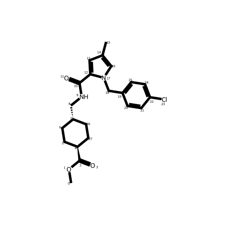 COC(=O)[C@H]1CC[C@H](CNC(=O)c2cc(C)cn2Cc2ccc(Cl)cc2)CC1